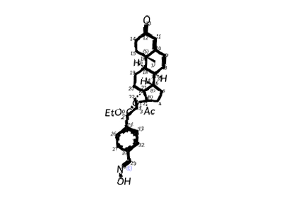 CCOC(=O)O[C@]1(C(C)=O)CC[C@H]2[C@@H]3C=CC4=CC(=O)CC[C@@]4(C)[C@@H]3CC[C@@]21CCCc1ccc(/C=N/O)cc1